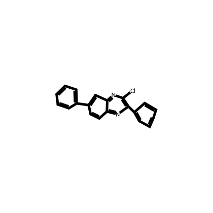 Clc1nc2cc(-c3ccccc3)ccc2nc1-c1ccccc1